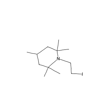 CC1CC(C)(C)N(CCI)C(C)(C)C1